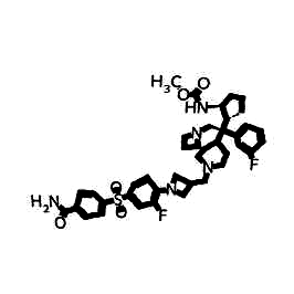 COC(=O)N[C@H]1CCC[C@@H]1[C@](CN1CCC1)(c1cccc(F)c1)C1CCN(CC2CN(c3ccc(S(=O)(=O)c4ccc(C(N)=O)cc4)cc3F)C2)CC1